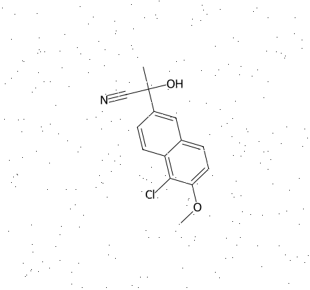 COc1ccc2cc(C(C)(O)C#N)ccc2c1Cl